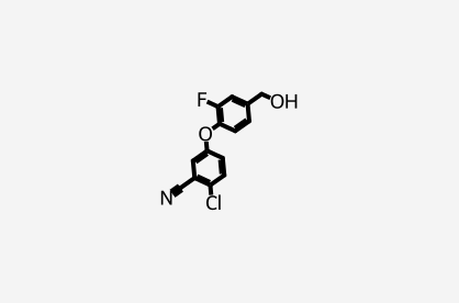 N#Cc1cc(Oc2ccc(CO)cc2F)ccc1Cl